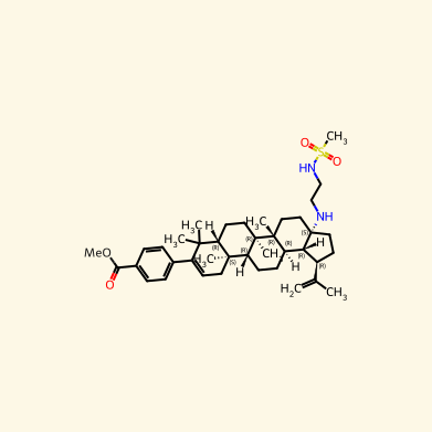 C=C(C)[C@@H]1CC[C@]2(NCCNS(C)(=O)=O)CC[C@]3(C)[C@H](CC[C@@H]4[C@@]5(C)CC=C(c6ccc(C(=O)OC)cc6)C(C)(C)[C@@H]5CC[C@]43C)[C@@H]12